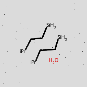 CC(C)CC[SiH3].CC(C)CC[SiH3].O